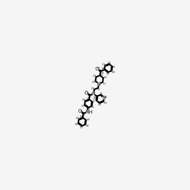 O=C(Nc1ccc(C(=O)N(CCN2CCC(C(=O)c3ccccc3)CC2)c2cccnc2)cc1)c1ccccc1